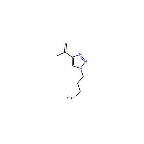 C=C(C)c1cn(CCCC(=O)O)nn1